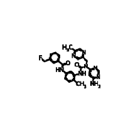 Cc1cnc(CN(C(=O)Nc2cc(NC(=O)c3cccc(CF)c3)ccc2C)c2cc(N)ncn2)cn1